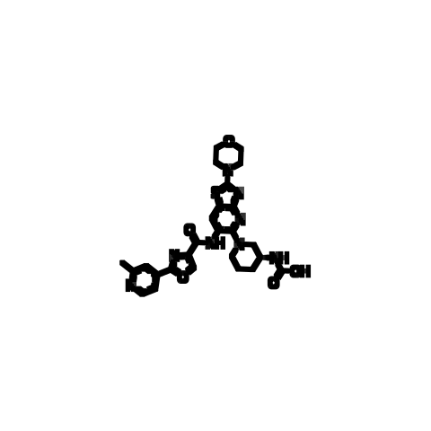 Cc1cc(-c2nc(C(=O)Nc3cc4sc(N5CCOCC5)nc4nc3N3CCC[C@H](NC(=O)O)C3)co2)ccn1